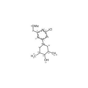 COCc1nc(Cl)cc(N2CC(C)C(O)C(C)C2)n1